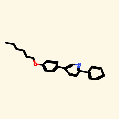 CCCCCCOc1ccc(-c2ccc(-c3ccccc3)nc2)cc1